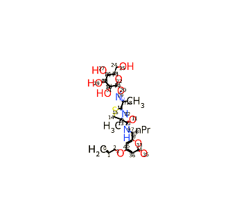 C=CCOc1cc([C@@H](CCC)NC(=O)C2(C)CSC(/C(C)=N/O[C@H]3O[C@H](CO)[C@@H](O)[C@H](O)[C@@H]3O)=N2)oc(=O)c1